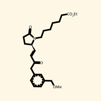 CCOC(=O)CCCCCCN1C(=O)CC[C@@H]1/C=C/C(=O)Cc1cccc(COC)c1